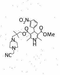 COC(=O)C1=C(C)NC(C)=C(C(=O)OCC(C)(C)CN2CCN(CC#N)CC2)C1c1cccc([N+](=O)[O-])c1